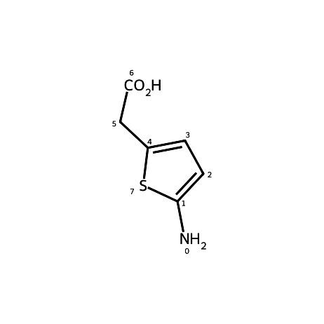 Nc1ccc(CC(=O)O)s1